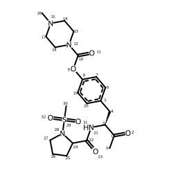 CC(=O)[C@H](Cc1ccc(OC(=O)N2CCN(C)CC2)cc1)NC(=O)C1CCCN1S(C)(=O)=O